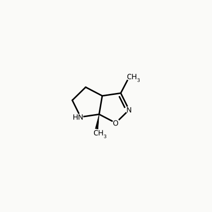 CC1=NO[C@]2(C)NCCC12